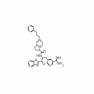 N=C(N)c1cccc(CC(NC(=O)C2CCC3CN(CCCc4ccccc4)CCN32)C(=O)c2nc3ccccc3s2)c1